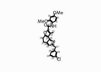 COc1ccc(NC(=O)c2oc3c(c2C)-c2nn(Cc4cccc(Cl)c4)cc2CC3)c(OC)c1